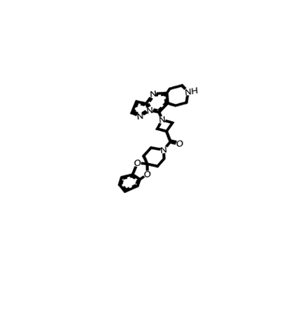 O=C(C1CN(c2c3c(nc4ccnn24)CCNCC3)C1)N1CCC2(CC1)Oc1ccccc1O2